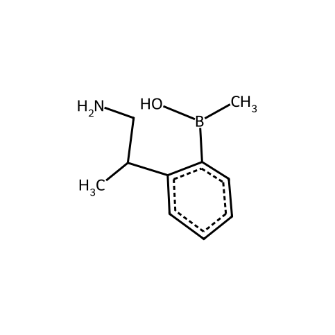 CB(O)c1ccccc1C(C)CN